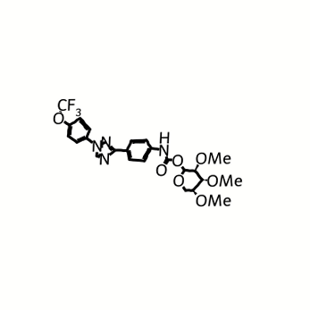 CO[C@@H]1[C@@H](OC)COC(OC(=O)Nc2ccc(-c3ncn(-c4ccc(OC(F)(F)F)cc4)n3)cc2)[C@H]1OC